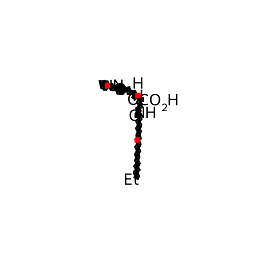 CCC=CCC=CCC=CCC=CCC=CCC=CCCC(=O)NCCCC(NC(=O)CC=Cc1ccc(CCN2CCCC2)nc1)C(=O)O